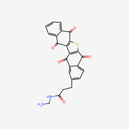 NCNC(=O)CCc1ccc2c(=O)c3sc4c(=O)c5ccccc5c(=O)c4c3c(=O)c2c1